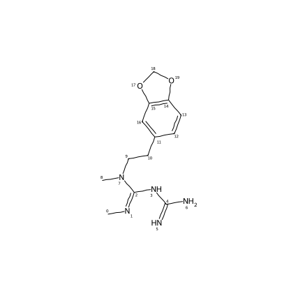 C/N=C(/NC(=N)N)N(C)CCc1ccc2c(c1)OCO2